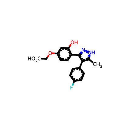 Cc1[nH]nc(-c2ccc(OCC(=O)O)cc2O)c1-c1ccc(F)cc1